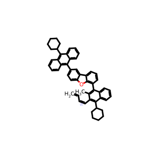 C=C/C=C\c1c(C)c(-c2cccc3c2oc2ccc(-c4c5ccccc5c(C5CCCCC5)c5ccccc45)cc23)c2ccccc2c1C1CCCCC1